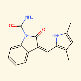 Cc1cc(C)c(/C=C2\C(=O)N(C(N)=O)c3ccccc32)[nH]1